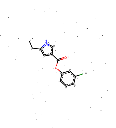 CCc1cc(C(=O)Oc2cccc(F)c2)c[nH]1